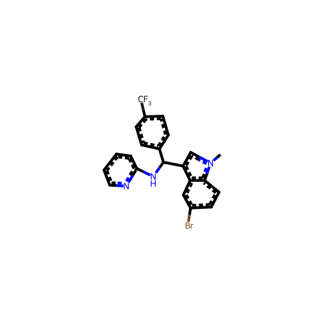 Cn1cc(C(Nc2ccccn2)c2ccc(C(F)(F)F)cc2)c2cc(Br)ccc21